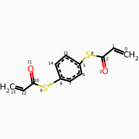 C=CC(=O)Sc1ccc(SC(=O)C=C)cc1